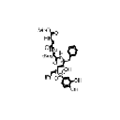 COC(=O)NCC(=O)N[C@H](C(=O)N[C@@H](Cc1ccccc1)[C@H](O)CN(CC(C)C)S(=O)(=O)c1ccc(O)c(O)c1)C(C)(C)C